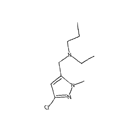 CCCN(CC)Cc1cc(Cl)nn1C